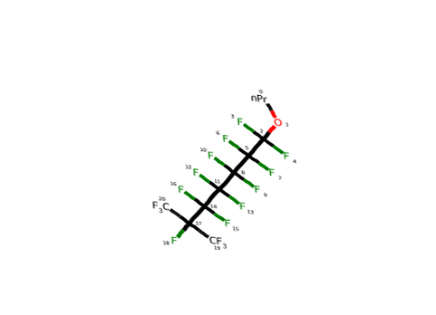 CCCOC(F)(F)C(F)(F)C(F)(F)C(F)(F)C(F)(F)C(F)(C(F)(F)F)C(F)(F)F